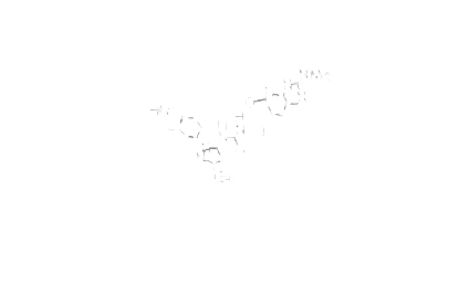 CNc1ncc2cc(C3CC3NC(=O)Nc3cc(C(C)(C)C)nn3-c3ccc4c(c3)CCNC4)c(=O)n(C)c2n1